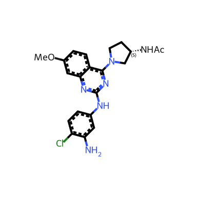 COc1ccc2c(N3CC[C@H](NC(C)=O)C3)nc(Nc3ccc(Cl)c(N)c3)nc2c1